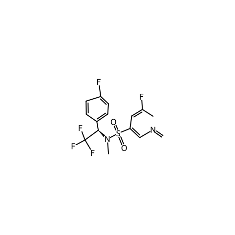 C=N/C=C(\C=C(/C)F)S(=O)(=O)N(C)[C@H](c1ccc(F)cc1)C(F)(F)F